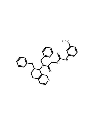 CCOC(=O)c1cccc(NC(=O)NCC(=O)N(Cc2ccccc2)C2C3=C(C=COC3)CCC2Cc2ccccc2)c1